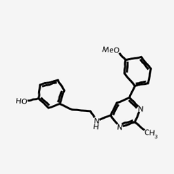 COc1cccc(-c2cc(NCCc3cccc(O)c3)nc(C)n2)c1